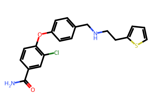 NC(=O)c1ccc(Oc2ccc(CNCCc3cccs3)cc2)c(Cl)c1